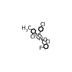 Cc1ccc(N2CCN(C(=O)Cc3c(F)cccc3Cl)CC2c2ccc(Cl)cc2)c(Cl)c1